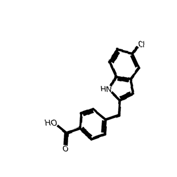 O=C(O)c1ccc(Cc2cc3cc(Cl)ccc3[nH]2)cc1